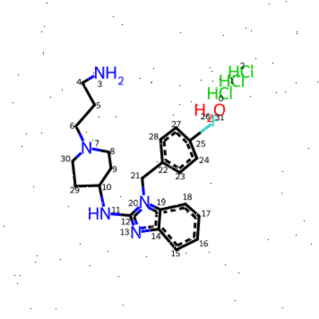 Cl.Cl.Cl.NCCCN1CCC(Nc2nc3ccccc3n2Cc2ccc(F)cc2)CC1.O